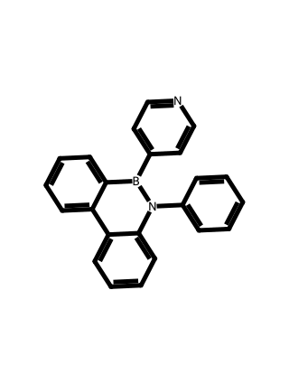 c1ccc(N2B(c3ccncc3)c3ccccc3-c3ccccc32)cc1